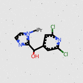 CC(C)n1ccnc1C(O)c1cc(Cl)nc(Cl)c1